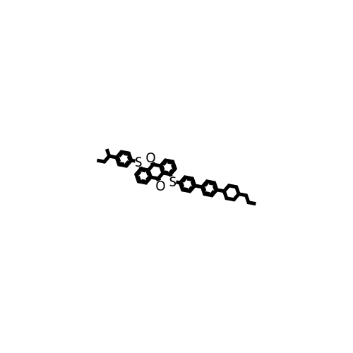 CCCC1CCC(c2ccc(-c3ccc(Sc4cccc5c4C(=O)c4cccc(Sc6ccc(C(C)CC)cc6)c4C5=O)cc3)cc2)CC1